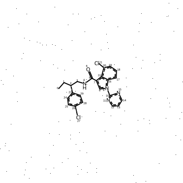 CCC(CNC(=O)c1cn(-c2ncccn2)c2cccc(Cl)c12)c1ccc(Cl)cc1